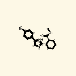 COC(=O)[C@H]1CCCC[C@@H]1c1ncc(-c2ccc(Br)cc2)[nH]1